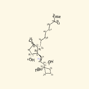 CCCCC1([C@@H](O)/C=C/[C@H]2[C@H](O)CC(=O)[C@@H]2CCCCCCC(=O)OC)CCC1